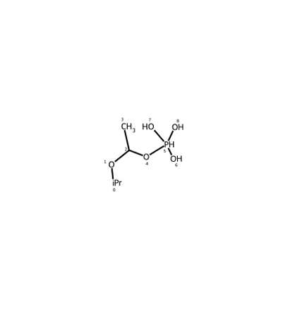 CC(C)OC(C)O[PH](O)(O)O